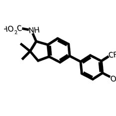 COc1ccc(-c2ccc3c(c2)CC(C)(C)C3NC(=O)O)cc1C(F)(F)F